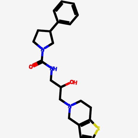 O=C(NCC(O)CN1CCc2sccc2C1)N1CCC(c2ccccc2)C1